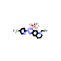 CC(C)CN1CCCc2cc(N=Nc3ccc(C(F)(F)F)cn3)c(NS(=O)(=O)C(F)(F)F)cc21